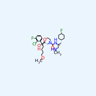 CNC[C@H](C[C@H]1CC[C@H](F)CC1)NC(=O)N1CCO[C@@H]([C@@](O)(CCCCOC)c2cccc(F)c2Cl)C1